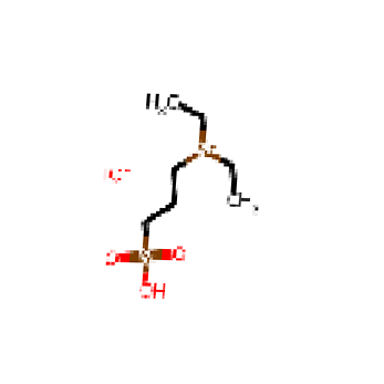 CC[S+](CC)CCCS(=O)(=O)O.[OH-]